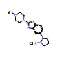 CC(C)N1CCN(c2nc3cc(C4CCCN4C=O)ccc3s2)CC1